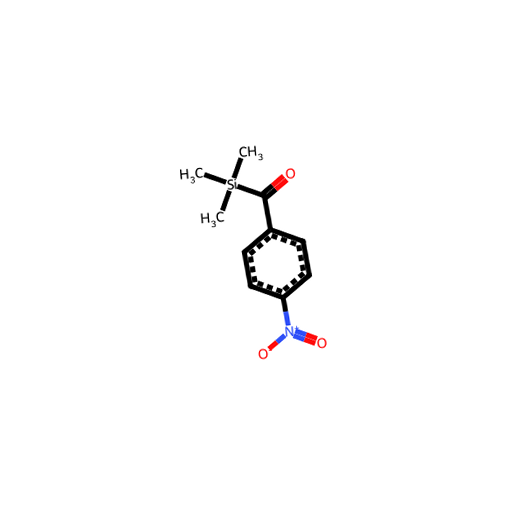 C[Si](C)(C)C(=O)c1ccc([N+](=O)[O-])cc1